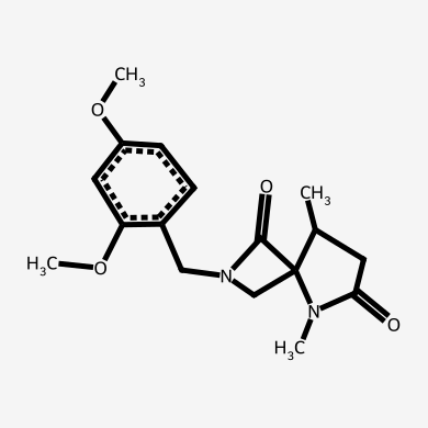 COc1ccc(CN2CC3(C2=O)C(C)CC(=O)N3C)c(OC)c1